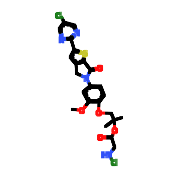 COc1cc(N2Cc3cc(-c4ncc(Cl)cn4)sc3C2=O)ccc1OCC(C)(C)OC(=O)CNCl